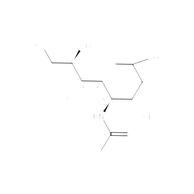 CC(=O)N[C@H]1[C@H]([C@H](O)[C@H](O)CO)O[C@@](C)(O)[CH][C@@H]1O